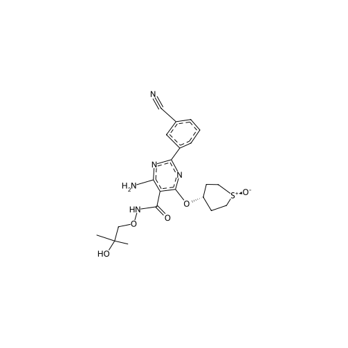 CC(C)(O)CONC(=O)c1c(N)nc(-c2cccc(C#N)c2)nc1O[C@H]1CC[S@+]([O-])CC1